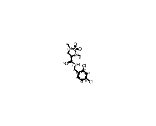 CN1CC(C(=O)NCc2ccc(Cl)cc2Cl)N(C)S1(=O)=O